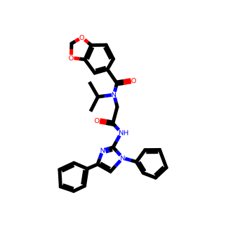 CC(C)N(CC(=O)Nc1nc(-c2ccccc2)cn1-c1ccccc1)C(=O)c1ccc2c(c1)OCO2